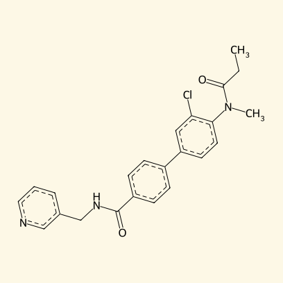 CCC(=O)N(C)c1ccc(-c2ccc(C(=O)NCc3cccnc3)cc2)cc1Cl